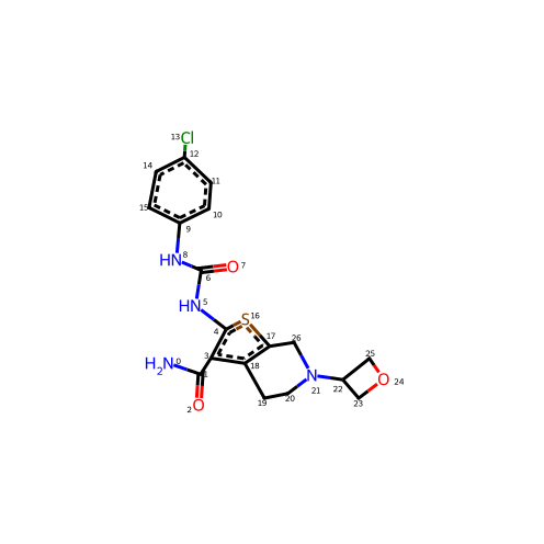 NC(=O)c1c(NC(=O)Nc2ccc(Cl)cc2)sc2c1CCN(C1COC1)C2